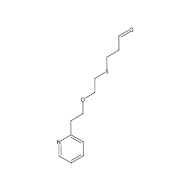 O=CCCSCCOCCc1ccccn1